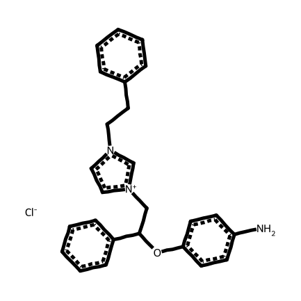 Nc1ccc(OC(C[n+]2ccn(CCc3ccccc3)c2)c2ccccc2)cc1.[Cl-]